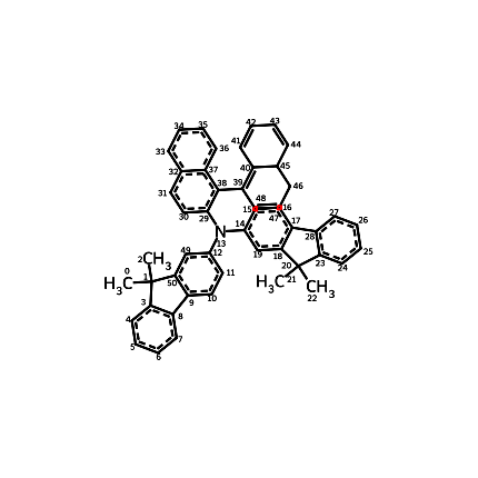 CC1(C)c2ccccc2-c2ccc(N(c3ccc4c(c3)C(C)(C)c3ccccc3-4)c3ccc4ccccc4c3C3=C4C=CC=CC4CC=C3)cc21